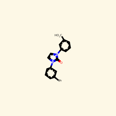 CC(C)c1cccc(-n2ccn(-c3cccc(C(=O)O)c3)c2=O)c1